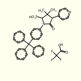 CC1(C)C(S(=O)(=O)O)N(c2ccc(C(c3ccccc3)(c3ccccc3)c3ccccc3)cc2)C(=O)N1c1ccncc1.O=C(O)C(F)(F)F